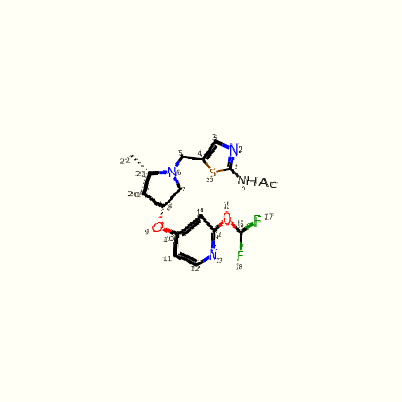 CC(=O)Nc1ncc(CN2C[C@H](Oc3ccnc(OC(F)F)c3)C[C@@H]2C)s1